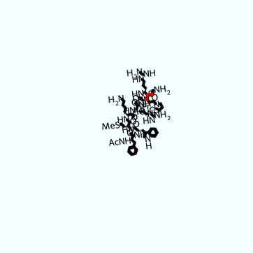 CSCC[C@H](NC(=O)[C@H](Cc1c[nH]c2ccccc12)NC(=O)[C@H](Cc1ccccc1)NC(C)=O)C(=O)N[C@@H](CCCCN)C(=O)N[C@@H](CCCNC(=N)N)C(=O)N[C@@H](CCCCN)C(=O)N[C@@H](CCCNC(=N)N)C(=O)N[C@H](C(=O)N1CCC[C@H]1C(=O)O)C(C)C